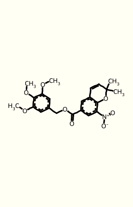 COc1cc(COC(=O)c2cc3c(c([N+](=O)[O-])c2)OC(C)(C)C=C3)cc(OC)c1OC